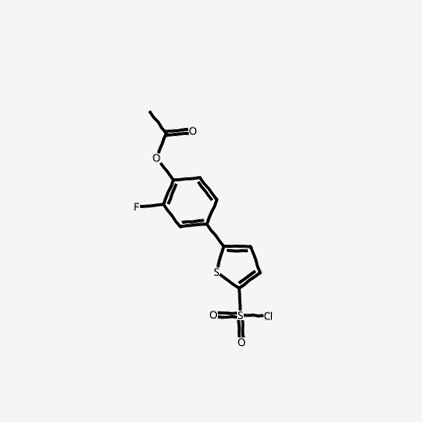 CC(=O)Oc1ccc(-c2ccc(S(=O)(=O)Cl)s2)cc1F